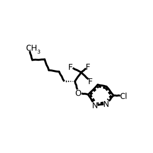 CCCCCC[C@@H](Oc1ccc(Cl)nn1)C(F)(F)F